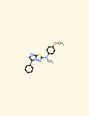 COc1ccc(N(C)c2nn3c(-c4cc[c]cc4)cnc3s2)cc1